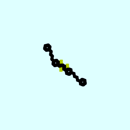 c1ccc(CCCCc2ccc3c(c2)sc2c3sc3c4ccc(CCCCc5ccccc5)cc4sc32)cc1